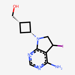 Nc1ncnc2c1C(I)CN2[C@H]1C[C@@H](CO)C1